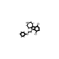 Clc1ccc(Cl)c2c1c1c(n2CCOc2ccccc2)CCNCC1